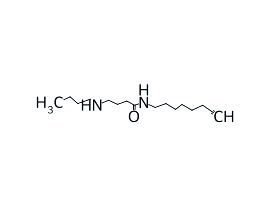 C#CCCCCCCNC(=O)CCCNCCCC